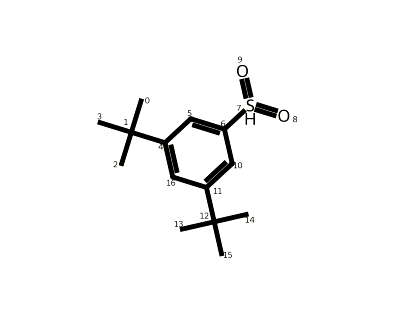 CC(C)(C)c1cc([SH](=O)=O)cc(C(C)(C)C)c1